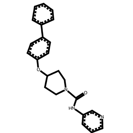 O=C(Nc1cccnc1)N1CCC(Oc2ccc(-c3ccccc3)cc2)CC1